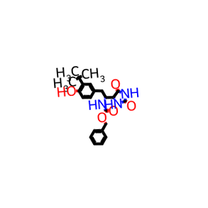 CC(C)(C)c1cc(CC(NC(=O)OCc2ccccc2)C2NC(=O)NC2=O)ccc1O